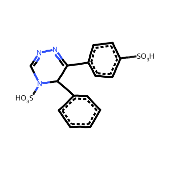 O=S(=O)(O)c1ccc(C2=NN=CN(S(=O)(=O)O)C2c2ccccc2)cc1